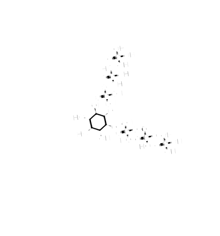 O=P(O)(O)O.O=P(O)(O)O.O=P(O)(O)O.O=P(O)(O)O.O=P(O)(O)O.O=P(O)(O)O.O[C@H]1[C@H](O)[C@@H](O)[C@H](O)[C@@H](O)[C@H]1O